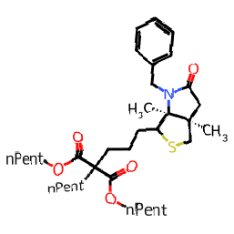 CCCCCOC(=O)C(CCCCC)(CCCC1SC[C@]2(C)CC(=O)N(Cc3ccccc3)[C@]12C)C(=O)OCCCCC